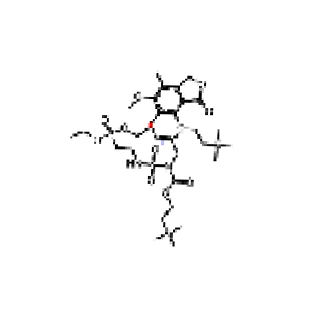 CCOP(=O)(CCNS(=O)(=O)N(C/C(C)=C/Cc1c(OC)c(C)c2c(c1OCC[Si](C)(C)C)C(=O)OC2)C(=O)OCC[Si](C)(C)C)OCC